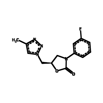 Cc1cn(C[C@H]2CN(c3cccc(F)c3)C(=O)O2)nn1